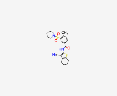 Cc1ccc(C(=O)Nc2sc3c(c2C#N)CCCC3)cc1S(=O)(=O)N1CCCCC1